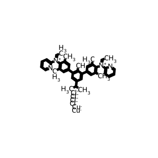 CC=[N+](c1ccccn1)c1c(C)cc(-c2cc(C(C)C)cc(-c3cc(C)c([N+](=CC)c4ccccn4)c(C)c3)c2C)cc1C.[Cl-].[Cl-].[Cl-].[Cl-].[Cu].[Cu]